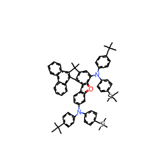 CC(C)(C)c1ccc(N(c2ccc([Si](C)(C)C)cc2)c2ccc3c(c2)oc2c(N(c4ccc(C(C)(C)C)cc4)c4ccc([Si](C)(C)C)cc4)cc4c(c23)-c2c(c3ccccc3c3ccccc23)C4(C)C)cc1